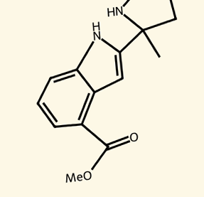 COC(=O)c1cccc2[nH]c(C3(C)CCCN3)cc12